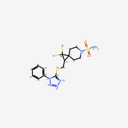 NS(=O)(=O)N1CCC2(CC1)C(CSc1nnnn1-c1ccccc1)C2(F)F